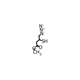 COC(=O)CC(S)CN=[N+]=[N-]